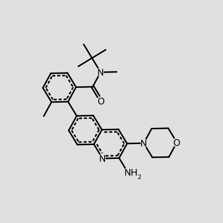 Cc1cccc(C(=O)N(C)C(C)(C)C)c1-c1ccc2nc(N)c(N3CCOCC3)cc2c1